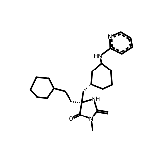 C=C1N[C@](CCC2CCCCC2)(C[C@H]2CCCC(Nc3ccccn3)C2)C(=O)N1C